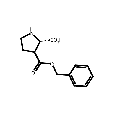 O=C(OCc1ccccc1)C1CCN[C@@H]1C(=O)O